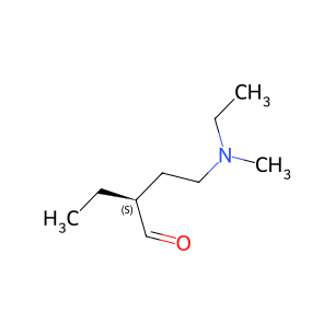 CC[C@H](C=O)CCN(C)CC